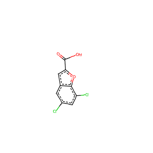 O=C(O)c1cc2cc(Cl)cc(Cl)c2o1